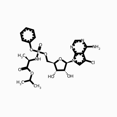 CC(C)OC(=O)[C@@H](C)NP(=O)(OC[C@H]1O[C@@H](n2cc(Cl)c3c(N)ncnc32)[C@H](O)[C@@H]1O)Oc1ccccc1